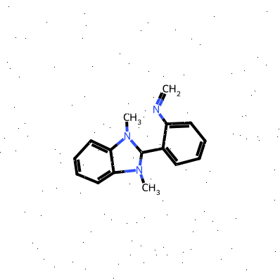 C=Nc1ccccc1C1N(C)c2ccccc2N1C